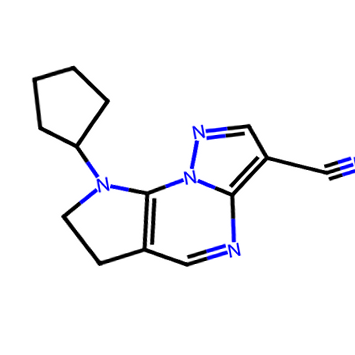 N#Cc1cnn2c3c(cnc12)CCN3C1CCCC1